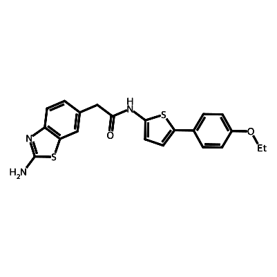 CCOc1ccc(-c2ccc(NC(=O)Cc3ccc4nc(N)sc4c3)s2)cc1